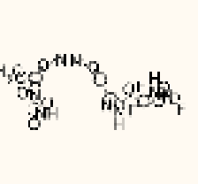 COc1cc(OCCN2CCN(CCOc3ccc(-c4cnc5[nH]cc(C(=O)c6c(F)ccc(NS(=O)(=O)N7CC[C@@H](F)C7)c6F)c5c4)cc3)CC2)cc2c1C(=O)N([C@@H]1CCC(=O)NC1=O)C2